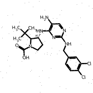 CC(C)(C)C1[C@H](Nc2nc(NCc3ccc(Cl)c(Cl)c3)ncc2N)CCN1C(=O)O